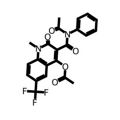 CC(=O)Oc1c(C(=O)N(C(C)=O)c2ccccc2)c(=O)n(C)c2ccc(C(F)(F)F)cc12